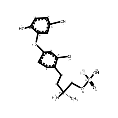 C[C@](N)(CCc1ccc(Sc2cc(C#N)ccc2O)cc1Cl)COP(=O)(O)O